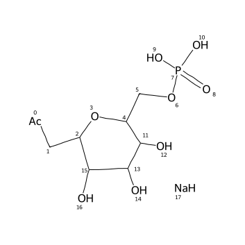 CC(=O)CC1OC(COP(=O)(O)O)C(O)C(O)C1O.[NaH]